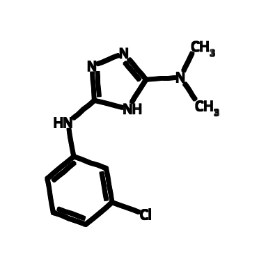 CN(C)c1nnc(Nc2cccc(Cl)c2)[nH]1